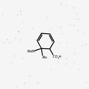 CCC(C)C1(NC)C=CC=CC1C(=O)O